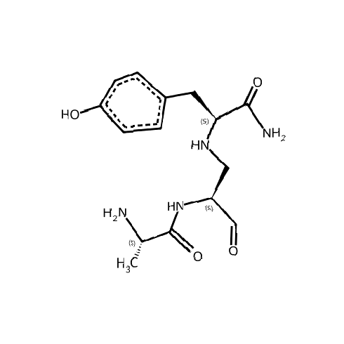 C[C@H](N)C(=O)N[C@H](C=O)CN[C@@H](Cc1ccc(O)cc1)C(N)=O